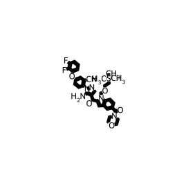 CS(C)(C)CCOCn1c(C(=O)c2cnn(-c3ccc(Oc4cccc(F)c4F)cc3C#N)c2N)cc2cc(C(=O)N3CCOCC3)ccc21